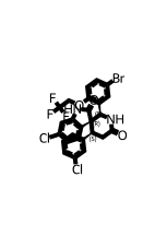 O=C1C[C@@H](c2cccc(Cl)c2)[C@]2(C(=O)Nc3cc(Cl)ccc32)[C@@H](c2cc(Br)ccc2OCC(F)(F)F)N1